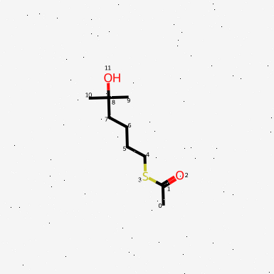 CC(=O)SCCCCC(C)(C)O